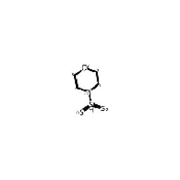 S=[SH](=S)N1CCOCC1